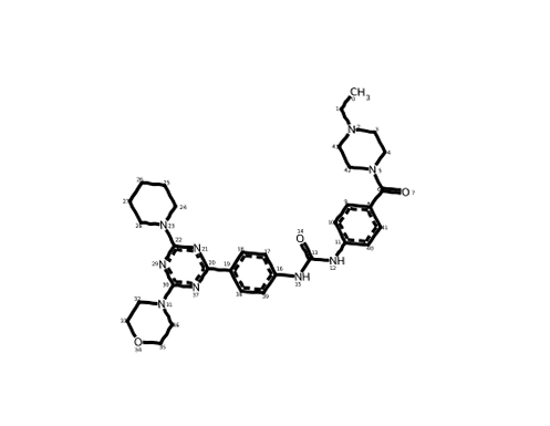 CCN1CCN(C(=O)c2ccc(NC(=O)Nc3ccc(-c4nc(N5CCCCC5)nc(N5CCOCC5)n4)cc3)cc2)CC1